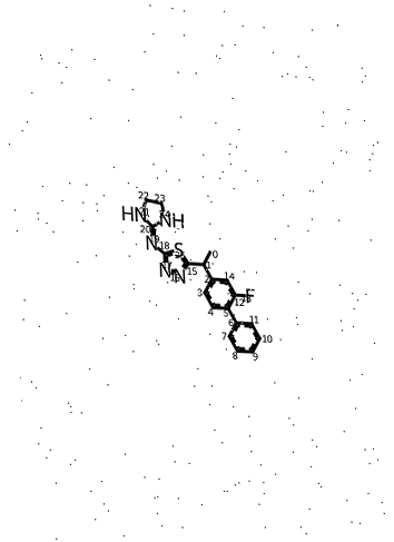 CC(c1ccc(-c2ccccc2)c(F)c1)c1nnc(N=C2NCCN2)s1